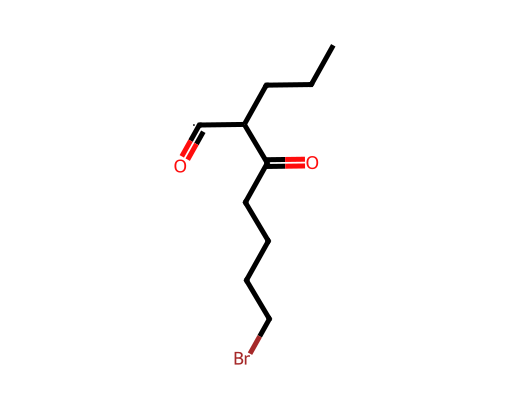 CCCC([C]=O)C(=O)CCCCBr